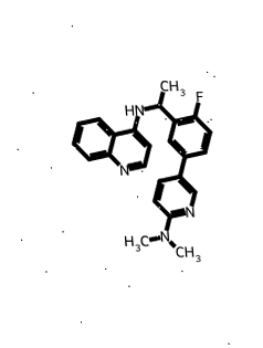 CC(Nc1ccnc2ccccc12)c1cc(-c2ccc(N(C)C)nc2)ccc1F